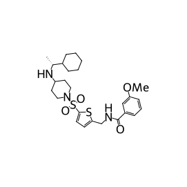 COc1cccc(C(=O)NCc2ccc(S(=O)(=O)N3CCC(N[C@H](C)C4CCCCC4)CC3)s2)c1